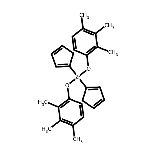 Cc1ccc([O][Zr]([O]c2ccc(C)c(C)c2C)([C]2=CC=CC2)[C]2=CC=CC2)c(C)c1C